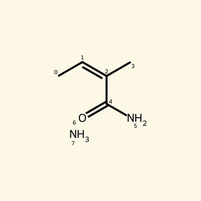 CC=C(C)C(N)=O.N